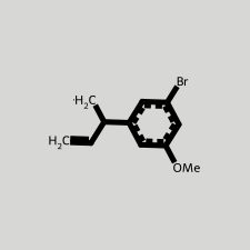 [CH2]C(C=C)c1cc(Br)cc(OC)c1